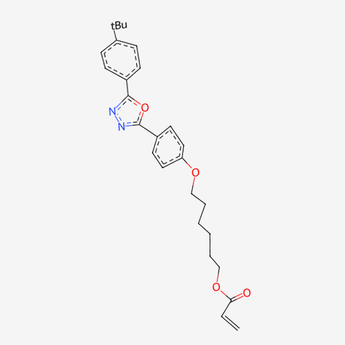 C=CC(=O)OCCCCCCOc1ccc(-c2nnc(-c3ccc(C(C)(C)C)cc3)o2)cc1